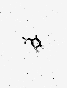 Cc1cc(=O)n(C(C)C)cc1CN(C)C